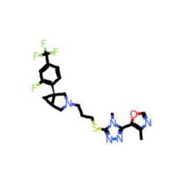 Cc1ncoc1-c1nnc(SCCCN2CC3C[C@]3(c3ccc(C(F)(F)F)cc3F)C2)n1C